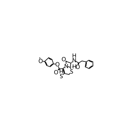 COc1ccc(OC(=O)C2=C(S)CS[C@@H]3[C@H](NC(=O)Cc4ccccc4)C(=O)N23)cc1